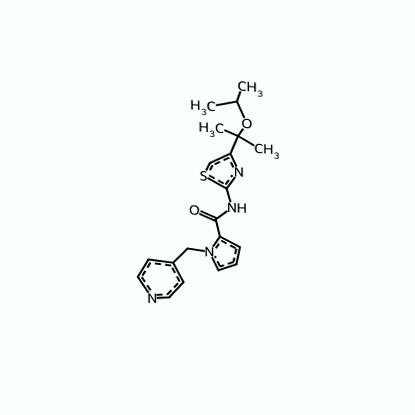 CC(C)OC(C)(C)c1csc(NC(=O)c2cccn2Cc2ccncc2)n1